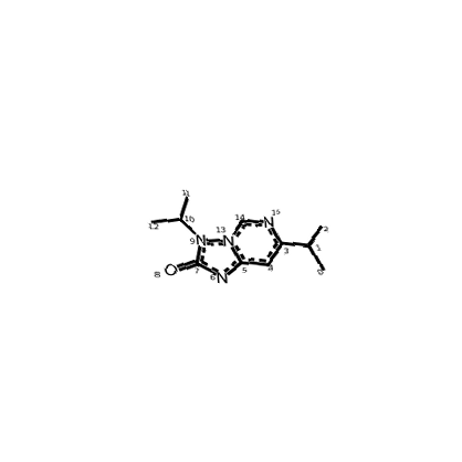 CC(C)c1cc2nc(=O)n(C(C)C)n2cn1